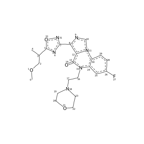 COCC(C)c1nc(-c2ncn3c2c(=O)n(CCN2CCOCC2)c2cc(F)ccc23)no1